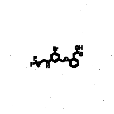 O=C(O)Cc1ccccc1OCc1cc(Br)cc(NCC2CC2(F)F)c1